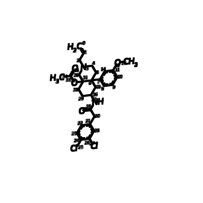 C=CCN1CCC2(c3cccc(OC)c3)CC(NC(=O)Cc3ccc(Cl)c(Cl)c3)CCC2(OC(C)=O)C1